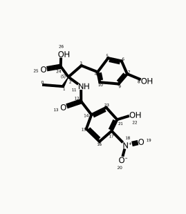 CC[C@@](Cc1ccc(O)cc1)(NC(=O)c1ccc([N+](=O)[O-])c(O)c1)C(=O)O